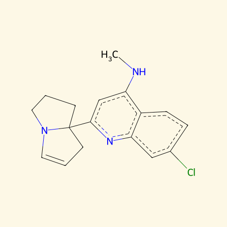 CNc1cc(C23CC=CN2CCC3)nc2cc(Cl)ccc12